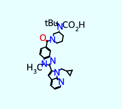 Cn1c(-c2cc3cccnc3n2CC2CC2)nc2cc(C(=O)N3CCC[C@@H](N(C(=O)O)C(C)(C)C)C3)ccc21